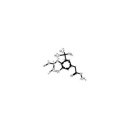 COC(=O)Cc1cc(C)c(OP(OF)OF)c(C(C)(C)C)c1